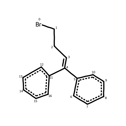 BrCCC=C(c1ccccc1)c1ccccc1